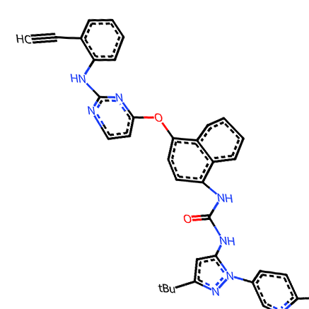 C#Cc1ccccc1Nc1nccc(Oc2ccc(NC(=O)Nc3cc(C(C)(C)C)nn3-c3ccc(OC)nc3)c3ccccc23)n1